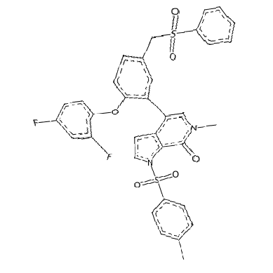 Cc1ccc(S(=O)(=O)n2ccc3c(-c4cc(CS(=O)(=O)c5ccccc5)ccc4Oc4ccc(F)cc4F)cn(C)c(=O)c32)cc1